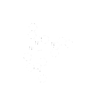 C=C1C(n2c3cc(-n4c5ccccc5c5c6ccccc6ccc54)ccc3c3c4ccccc4ccc32)=Nc2ccccc2C1c1cccc2c1c1ccccc1n2-c1ccccc1